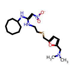 CN(C)Cc1ccc(CSCCNC(=C[N+](=O)[O-])NC2CCCCCCC2)o1